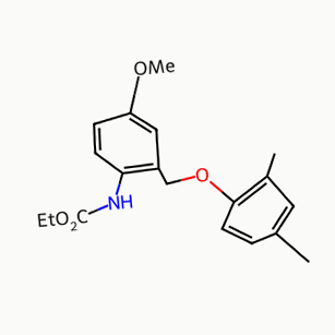 CCOC(=O)Nc1ccc(OC)cc1COc1ccc(C)cc1C